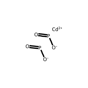 O=P[O-].O=P[O-].[Cd+2]